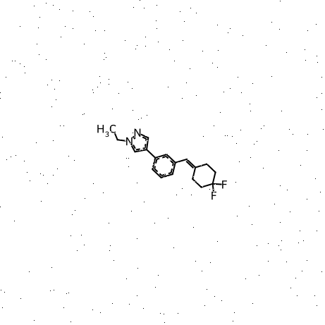 CCn1cc(-c2cccc(C=C3CCC(F)(F)CC3)c2)cn1